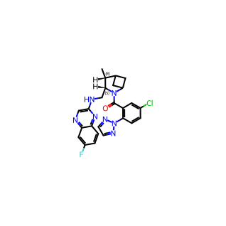 C[C@@H]1C2CC(C2)N(C(=O)c2cc(Cl)ccc2-n2nccn2)[C@@H]1CNc1cnc2cc(F)ccc2n1